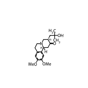 COc1cc2c(cc1OC)[C@H]1CC(=O)[C@H](CC(C)(C)O)CN1CC2